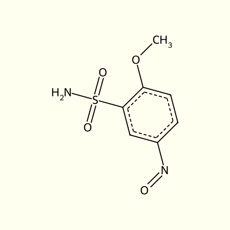 COc1ccc(N=O)cc1S(N)(=O)=O